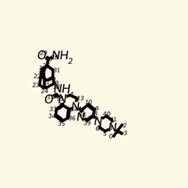 CC(C)(C)N1CCN(c2ccc(N3CCN(C(=O)NC4C5CC6CC4CC(C(N)=O)(C6)C5)c4ccccc43)nc2)CC1